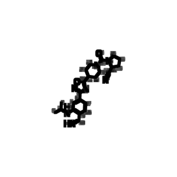 CC(C)Nc1cc(-c2noc(C3CCN(C(=O)N4CCCC4C#N)CC3)n2)ccc1C=N